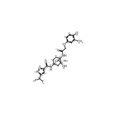 Cc1cc(OCC(=O)NC23CCC(NC(=O)c4cc(C(F)F)no4)(CC2)C[C@@H]3O)ccc1Cl